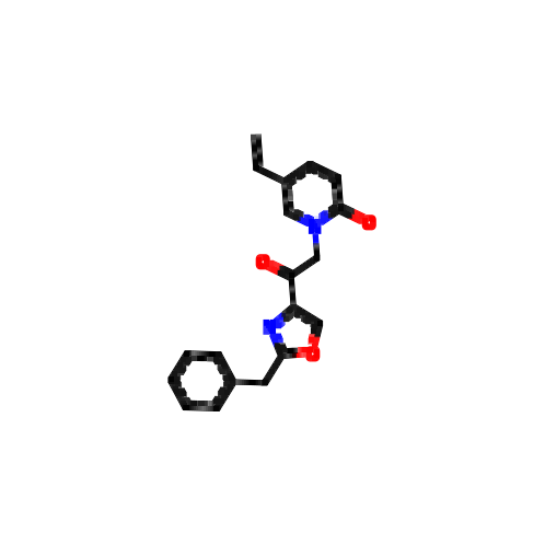 C=Cc1ccc(=O)n(CC(=O)c2coc(Cc3ccccc3)n2)c1